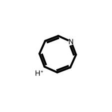 C1=CC=CN=CC=C1.[H+]